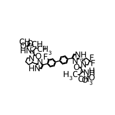 COC(=O)N[C@H](C(=O)N1CCCC1c1nc(-c2ccc(-c3ccc(-c4c[nH]c([C@@H]5CC(F)(F)CN5C(=O)[C@@H](NC(=O)O)C(C)C)n4)cc3)cc2F)c[nH]1)C(C)C